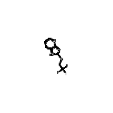 FC(F)(F)COc1nc2ncccc2[nH]1